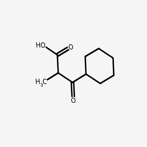 CC(C(=O)O)C(=O)C1CCCCC1